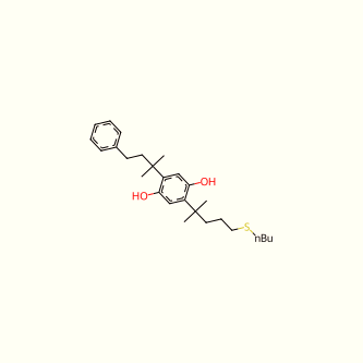 CCCCSCCCC(C)(C)c1cc(O)c(C(C)(C)CCc2ccccc2)cc1O